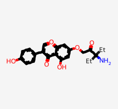 CCC(N)(CC)C(=O)COc1cc(O)c2c(=O)c(-c3ccc(O)cc3)coc2c1